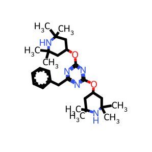 CC1(C)CC(Oc2nc(Cc3ccccc3)nc(OC3CC(C)(C)NC(C)(C)C3)n2)CC(C)(C)N1